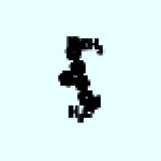 Cn1cnc2cc(-c3ccc4c5ccc(-c6ccc7ncn(C)c7c6)cc5c5ccccc5c4c3)ccc21